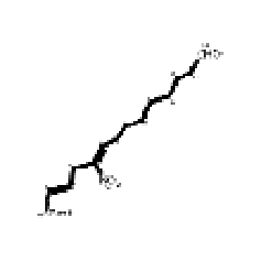 CCCCC/C=C/C/C(=C/CCCCCCC[C]=O)[N+](=O)[O-]